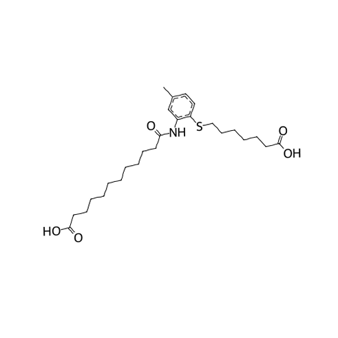 Cc1ccc(SCCCCCCC(=O)O)c(NC(=O)CCCCCCCCCCC(=O)O)c1